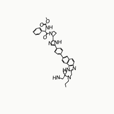 CCCN(Cc1nc2ccc3cc(-c4ccc(-c5cnc(C6CCN6C(=O)[C@H](NC(=O)OC)c6ccccc6)[nH]5)cc4)ccc3c2[nH]1)C(=O)CNC